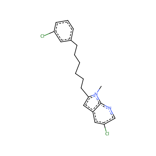 Cn1c(CCCCCCc2cccc(Cl)c2)cc2cc(Cl)cnc21